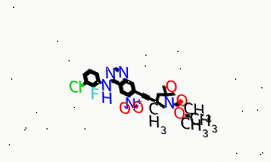 CC1(C#Cc2cc3ncnc(Nc4cccc(Cl)c4F)c3cc2[N+](=O)[O-])CN(C(=O)OC(C)(C)C)C2(COC2)C1